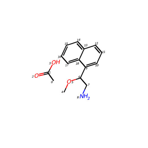 CC(=O)O.COC(CN)c1cccc2ccccc12